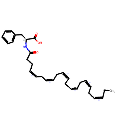 CC/C=C\C/C=C\C/C=C\C/C=C\C/C=C\C/C=C\CCC(=O)N[C@@H](Cc1ccccc1)C(=O)O